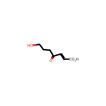 O=C(O)/C=C/C(=O)CCCO